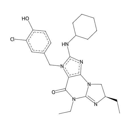 CC[C@@H]1CN2C(=N1)N(CC)C(=O)c1c2nc(NC2CCCCC2)n1Cc1ccc(O)c(Cl)c1